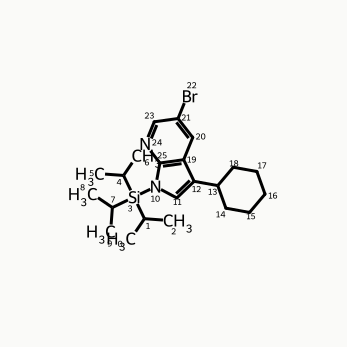 CC(C)[Si](C(C)C)(C(C)C)n1cc(C2CCCCC2)c2cc(Br)cnc21